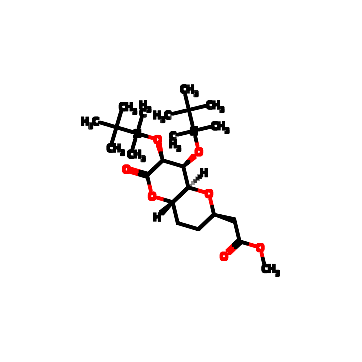 COC(=O)C[C@H]1CC[C@@H]2OC(=O)[C@@H](O[Si](C)(C)C(C)(C)C)[C@@H](O[Si](C)(C)C(C)(C)C)[C@H]2O1